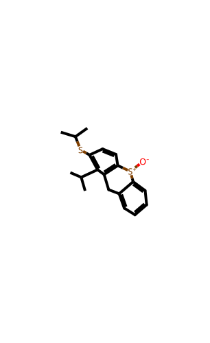 CC(C)Sc1ccc2c(c1C(C)C)Cc1ccccc1[S+]2[O-]